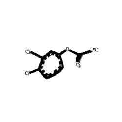 CC(=O)C(=O)Oc1ccc(Cl)c(Cl)c1